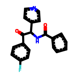 O=C(NC(C(=O)c1ccc(F)cc1)c1ccncc1)c1ccccc1